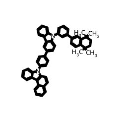 CC1(C)CCC(C)(C)c2cc(-c3cccc(-n4c5ccccc5c5cc(-c6ccc(-n7c8ccccc8c8c9ccccc9ccc87)cc6)ccc54)c3)ccc21